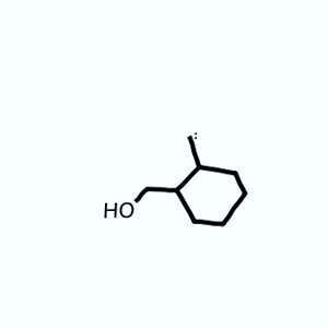 [CH]C1CCCCC1CO